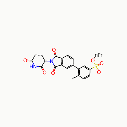 CCCOS(=O)(=O)c1ccc(C)c(-c2ccc3c(c2)C(=O)N(C2CCC(=O)NC2=O)C3=O)c1